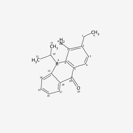 CCc1ccc2c(c1N)B(C(C)C)c1ccccc1C2=O